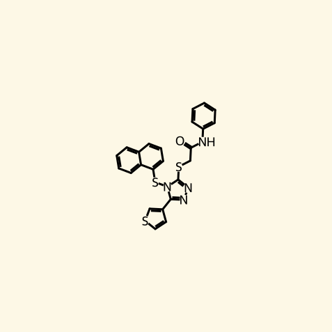 O=C(CSc1nnc(-c2ccsc2)n1Sc1cccc2ccccc12)Nc1ccccc1